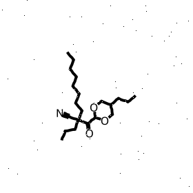 CCCCCCCCC(C#N)(CCC)C(=O)C1OCC(CCC)CO1